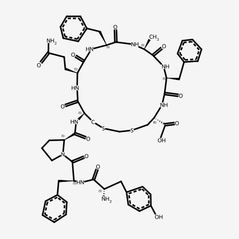 C[C@@H]1NC(=O)[C@H](Cc2ccccc2)NC(=O)[C@H](CCC(N)=O)NC(=O)[C@H](NC(=O)[C@@H]2CCCN2C(=O)[C@H](Cc2ccccc2)NC(=O)[C@@H](N)Cc2ccc(O)cc2)CSCSC[C@@H](C(=O)O)NC(=O)[C@H](Cc2ccccc2)NC1=O